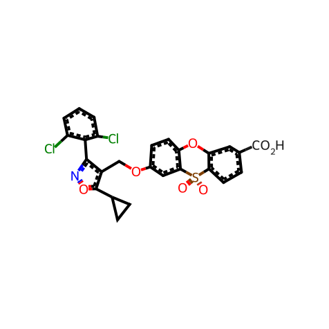 O=C(O)c1ccc2c(c1)Oc1ccc(OCc3c(-c4c(Cl)cccc4Cl)noc3C3CC3)cc1S2(=O)=O